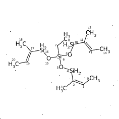 CC=C(C)[SiH2]O[Si](CC)(O[SiH2]C(C)=CC)O[SiH2]C(C)=CC